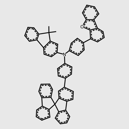 CC1(C)c2ccccc2-c2ccc(N(c3ccc(-c4ccc5c(c4)C4(c6ccccc6-c6ccccc64)c4ccccc4-5)cc3)c3ccc(-c4cccc5c4oc4ccccc45)cc3)cc21